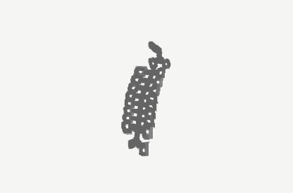 C=CC(=O)OC(Cl)(Cl)C(Cl)(Cl)C(Cl)(Cl)C(Cl)(Cl)C(Cl)(Cl)C(Cl)(Cl)C(Cl)(Cl)C(Cl)(Cl)C(C)Cl